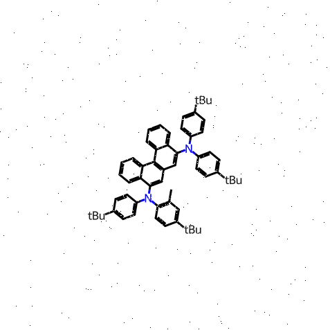 Cc1cc(C(C)(C)C)ccc1N(c1ccc(C(C)(C)C)cc1)c1cc2cc(N(c3ccc(C(C)(C)C)cc3)c3ccc(C(C)(C)C)cc3)c3ccccc3c2c2ccccc12